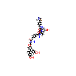 CCC(=C(c1ccc(O)cc1)c1ccc(OCCNC(=O)CCc2ccc(CCC(=O)NC(C(=O)N3C[C@H](O)C[C@H]3C(=O)NCc3ccc(-c4scnc4C)cc3)C(C)(C)C)cc2)cc1)c1ccc(O)cc1